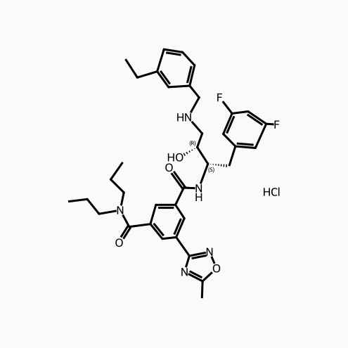 CCCN(CCC)C(=O)c1cc(C(=O)N[C@@H](Cc2cc(F)cc(F)c2)[C@H](O)CNCc2cccc(CC)c2)cc(-c2noc(C)n2)c1.Cl